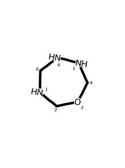 C1NCOCNN1